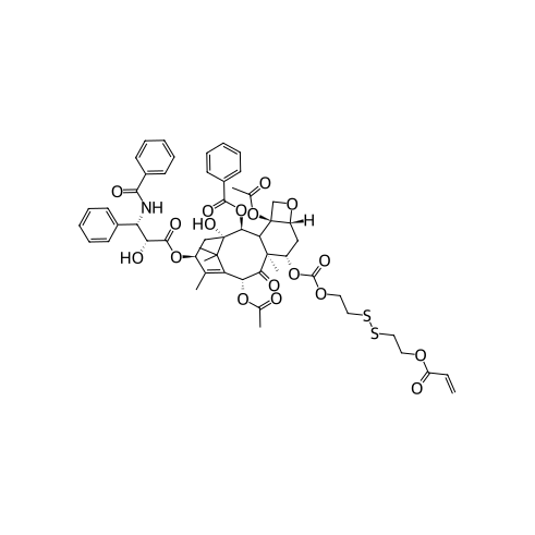 C=CC(=O)OCCSSCCOC(=O)O[C@H]1C[C@H]2OC[C@@]2(OC(C)=O)C2[C@H](OC(=O)c3ccccc3)[C@]3(O)C[C@H](OC(=O)[C@H](O)[C@@H](NC(=O)c4ccccc4)c4ccccc4)C(C)=C([C@@H](OC(C)=O)C(=O)[C@@]21C)C3(C)C